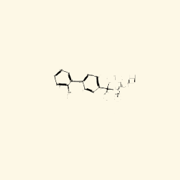 C[S+]([O-])C(C)(C(=O)O)c1ccc(-c2ccccc2Cl)cc1